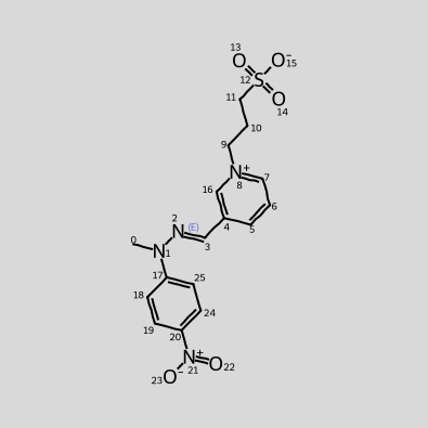 CN(/N=C/c1ccc[n+](CCCS(=O)(=O)[O-])c1)c1ccc([N+](=O)[O-])cc1